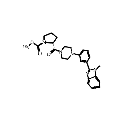 Cn1c(-c2cccc(N3CCN(C(=O)[C@H]4CCCN4C(=O)OC(C)(C)C)CC3)c2)nc2ccccc21